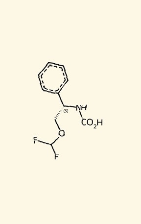 O=C(O)N[C@H](COC(F)F)c1ccccc1